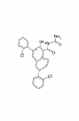 NC(=O)NC(=O)c1c(O)c(-c2ccccc2Cl)cc2cc(-c3ccccc3Cl)ccc12